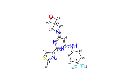 Cc1nc(-c2nc(NC3CCC(F)(F)CC3)cc(N3CC4(COC4)C3)n2)cs1